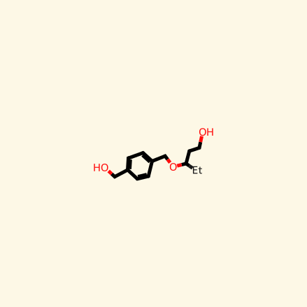 CCC(CCO)OCc1ccc(CO)cc1